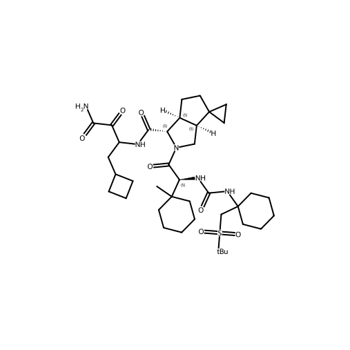 CC1([C@H](NC(=O)NC2(CS(=O)(=O)C(C)(C)C)CCCCC2)C(=O)N2C[C@H]3[C@H](CCC34CC4)[C@H]2C(=O)NC(CC2CCC2)C(=O)C(N)=O)CCCCC1